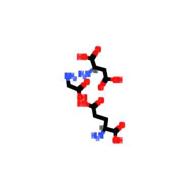 NCC(=O)O.N[C@@H](CC(=O)O)C(=O)O.N[C@@H](CCC(=O)O)C(=O)O